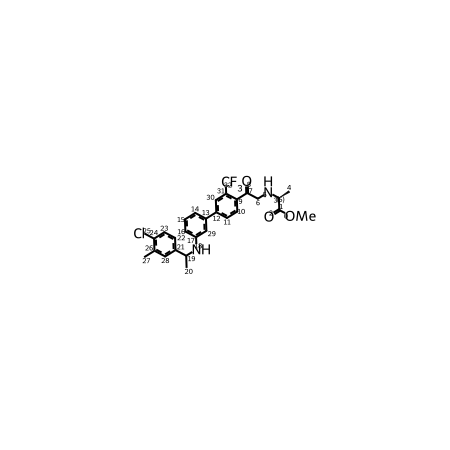 COC(=O)[C@H](C)NCC(=O)c1ccc(-c2cccc(NC(C)c3ccc(Cl)c(C)c3)c2)cc1C(F)(F)F